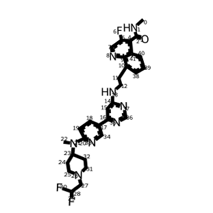 CNC(=O)c1c(F)cnc2c(CCNc3cc(-c4ccc(N(C)C5CCN(CC(F)F)CC5)nc4)ncn3)cccc12